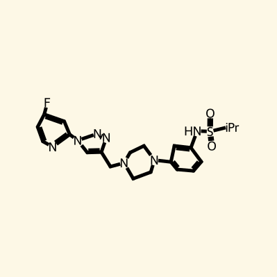 CC(C)S(=O)(=O)Nc1cccc(N2CCN(Cc3cn(-c4cc(F)ccn4)nn3)CC2)c1